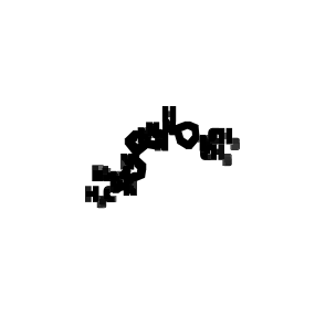 CCn1c(C)nc2ccc(-c3ccn4nc(N[C@H]5CC[C@@H](N(C)C)CC5)ncc34)nc21